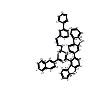 C(=C/c1cccc(-c2ccccc2)c1)/Cc1nc(-c2ccc3ccccc3c2)nc(-c2c(-c3ccc4c(c3)sc3ccccc34)ccc3oc4ccccc4c23)n1